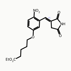 CCOC(=O)CCCCOc1ccc([N+](=O)[O-])c(/C=C2\CC(=O)NC2=O)c1